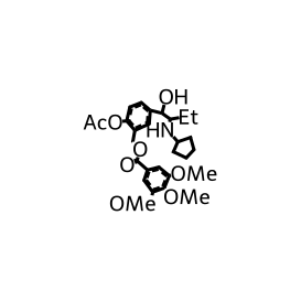 CCC(NC1CCCC1)C(O)c1ccc(OC(C)=O)c(COC(=O)c2cc(OC)c(OC)c(OC)c2)c1